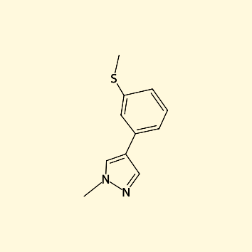 CSc1cccc(-c2cnn(C)c2)c1